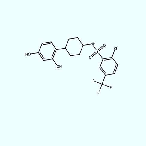 O=S(=O)(NC1CCC(c2ccc(O)cc2O)CC1)c1cc(C(F)(F)F)ccc1Cl